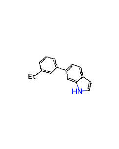 [CH2]Cc1cccc(-c2ccc3cc[nH]c3c2)c1